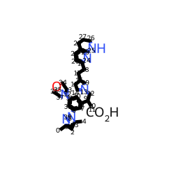 Cc1cc(C)n(-c2cc(C(CC(=O)O)CN3CCC(CCc4ccc5c(n4)NCCC5)C3)cc(N3CCOCC3)c2)n1